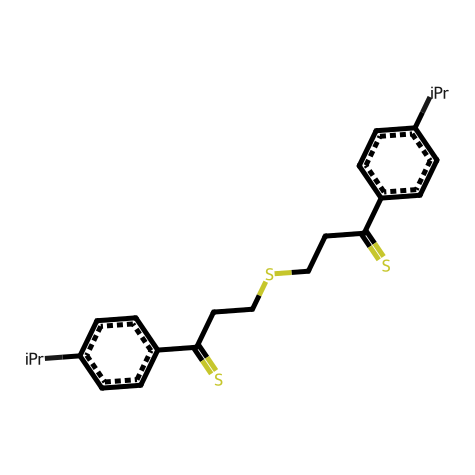 CC(C)c1ccc(C(=S)CCSCCC(=S)c2ccc(C(C)C)cc2)cc1